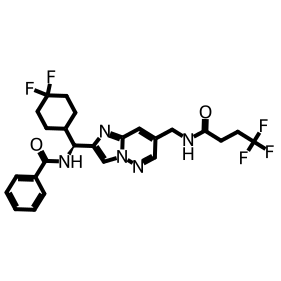 O=C(CCC(F)(F)F)NCc1cnn2cc([C@@H](NC(=O)c3ccccc3)C3CCC(F)(F)CC3)nc2c1